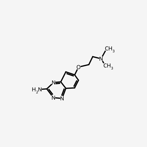 CN(C)CCOc1ccc2nnc(N)nc2c1